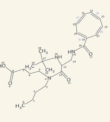 CCCCN(CCCC(=O)O)C(=O)C(CNC(=O)C1=C/C=C\C=C/C=C\1)NC(C)(C)C